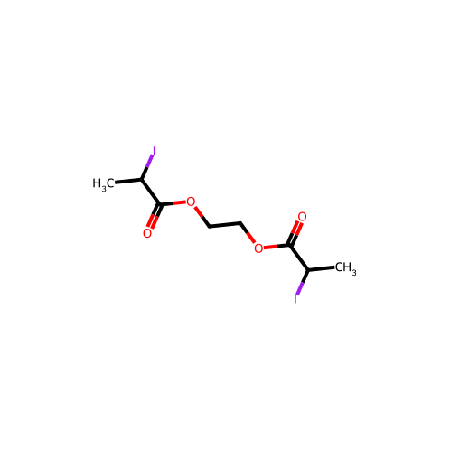 CC(I)C(=O)OCCOC(=O)C(C)I